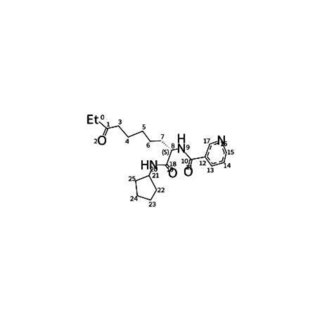 CCC(=O)CCCCC[C@H](NC(=O)c1cccnc1)C(=O)NC1CCCC1